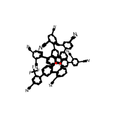 N#Cc1ccc(-c2ccc3c(c2)c2cc(-c4ccc(C#N)cc4C#N)ccc2n3-c2ccc(-c3ccc(C#N)cc3C(F)(F)F)cc2-c2c(C#N)cccc2-n2c3ccc(-c4ccc(C#N)cc4C#N)cc3c3cc(-c4ccc(C#N)cc4C#N)ccc32)c(C#N)c1